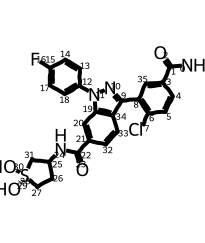 NC(=O)c1ccc(Cl)c(-c2nn(-c3ccc(F)cc3)c3cc(C(=O)NC4CCS(O)(O)C4)ccc23)c1